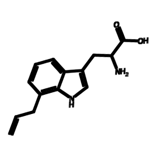 C=CCc1cccc2c(CC(N)C(=O)O)c[nH]c12